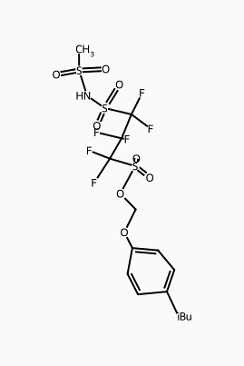 CCC(C)c1ccc(OCOS(=O)(=O)C(F)(F)C(F)(F)C(F)(F)S(=O)(=O)NS(C)(=O)=O)cc1